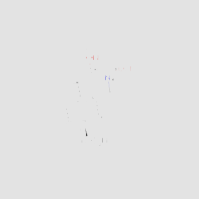 O=C(O)[C@H]1CCC2=C(C1)CN(O)C(O)=C2